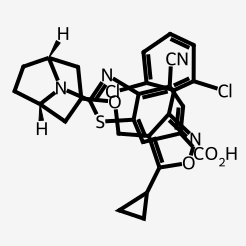 N#Cc1cc(C(=O)O)cc2sc(N3[C@@H]4CC[C@H]3CC(OCc3c(-c5c(Cl)cccc5Cl)noc3C3CC3)C4)nc12